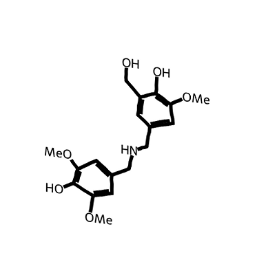 COc1cc(CNCc2cc(OC)c(O)c(OC)c2)cc(CO)c1O